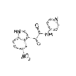 O=C(Nc1ccncc1)C(=O)c1c[nH]c2ccc([N+](=O)[O-])cc12